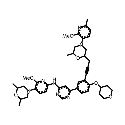 COc1nc(C)ccc1N1CC(C)OC(CC#Cc2cc(-c3cc(Nc4ccc(N5CC(C)OC(C)C5)c(OC)n4)ncn3)ccc2OC2CCOCC2)C1